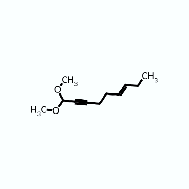 CCC=CCCC#CC(OC)OC